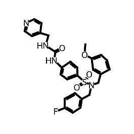 COc1cccc(CN(Cc2ccc(F)cc2)S(=O)(=O)c2ccc(NC(=O)NCc3ccncc3)cc2)c1